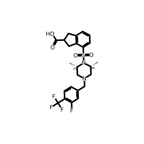 C[C@@H]1CN(Cc2ccc(C(F)(F)F)c(F)c2)C[C@H](C)N1S(=O)(=O)c1cccc2c1CC(C(=O)O)C2